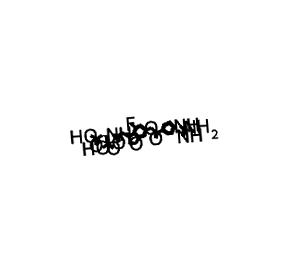 N=C(N)Nc1ccc(C(=O)Oc2cc(F)c3c(c2)OCC3CC(=O)N[C@@H](CC(=O)O)C(=O)O)cc1